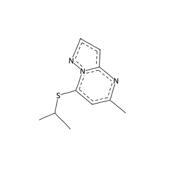 Cc1cc(SC(C)C)n2nccc2n1